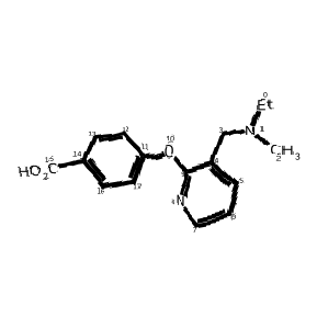 CCN(C)Cc1cccnc1Oc1ccc(C(=O)O)cc1